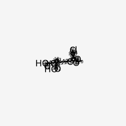 CCCS(=O)(=O)c1cc(OCCCCCCc2cccc(OCCCC(=O)O)c2CCC(=O)O)cc(-c2ccc(Cl)cc2)c1